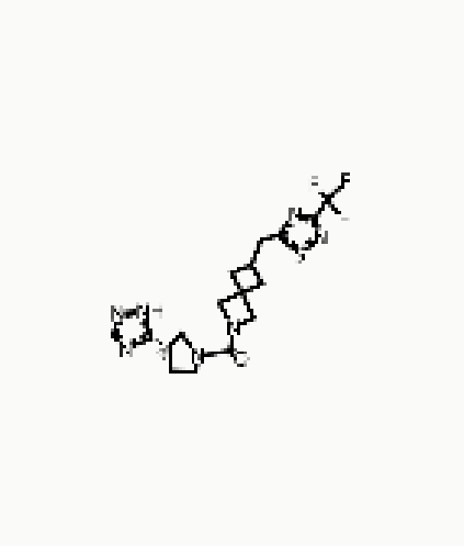 O=C(N1CC[C@H](c2ncn[nH]2)C1)N1CC2(CC(Cc3nc(C(F)(F)F)ns3)C2)C1